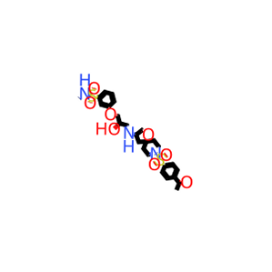 CNS(=O)(=O)c1cccc(OCC(O)CNC2COC3(CCN(S(=O)(=O)c4ccc(C(C)=O)cc4)CC3)C2)c1